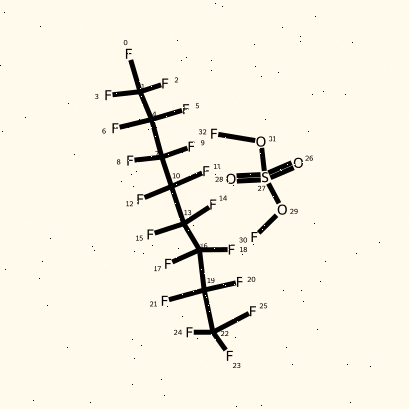 FC(F)(F)C(F)(F)C(F)(F)C(F)(F)C(F)(F)C(F)(F)C(F)(F)C(F)(F)F.O=S(=O)(OF)OF